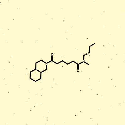 CCCCN(C)C(=O)CCCCC(=O)N1CCC2CCCCC2C1